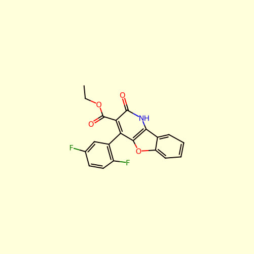 CCOC(=O)c1c(-c2cc(F)ccc2F)c2oc3ccccc3c2[nH]c1=O